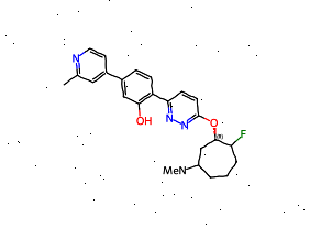 CNC1CCCC(F)[C@H](Oc2ccc(-c3ccc(-c4ccnc(C)c4)cc3O)nn2)C1